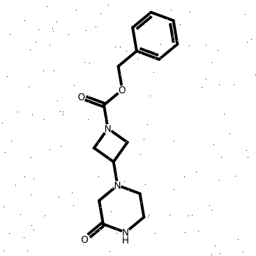 O=C1CN(C2CN(C(=O)OCc3ccccc3)C2)CCN1